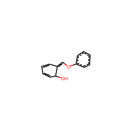 OC1C=CC=CC1=COc1ccccc1